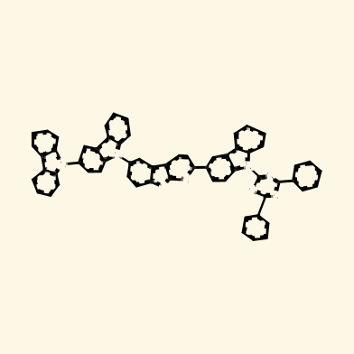 c1ccc(-c2nc(-c3ccccc3)nc(-n3c4ccccc4c4cc(-c5ccc6c(n5)sc5ccc(-n7c8ccccc8c8cc(-n9c%10ccccc%10c%10ccccc%109)ccc87)cc56)ccc43)n2)cc1